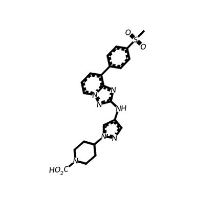 CS(=O)(=O)c1ccc(-c2cccn3nc(Nc4cnn(C5CCN(C(=O)O)CC5)c4)nc23)cc1